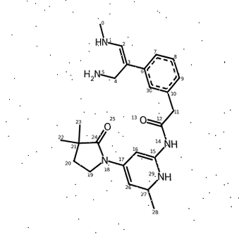 CN/C=C(\CN)c1cccc(CC(=O)NC2=CC(N3CCC(C)(C)C3=O)=CC(C)N2)c1